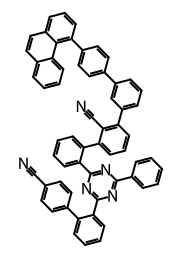 N#Cc1ccc(-c2ccccc2-c2nc(-c3ccccc3)nc(-c3ccccc3-c3cccc(-c4cccc(-c5ccc(-c6cccc7ccc8ccccc8c67)cc5)c4)c3C#N)n2)cc1